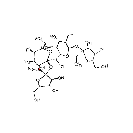 OC[C@H]1O[C@@](CO)(O[C@H]2O[C@H](C(Cl)[C@@]3(O[C@@]4(CO)O[C@H](CO)[C@@H](O)[C@@H]4O)O[C@H](CO)[C@H](Cl)[C@H](O)[C@H]3O)[C@@H](O)[C@H](O)[C@H]2O)[C@@H](O)[C@@H]1O